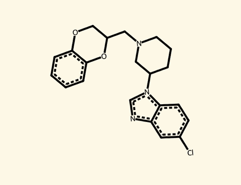 Clc1ccc2c(c1)ncn2C1CCCN(CC2COc3ccccc3O2)C1